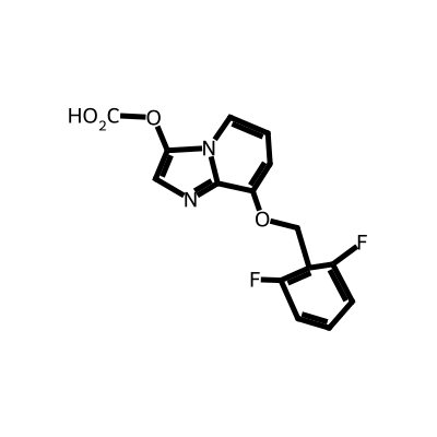 O=C(O)Oc1cnc2c(OCc3c(F)cccc3F)cccn12